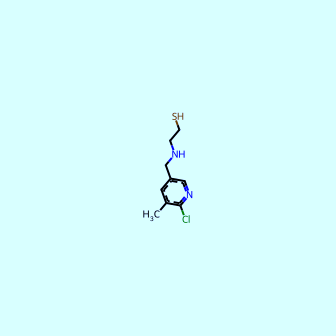 Cc1cc(CNCCS)cnc1Cl